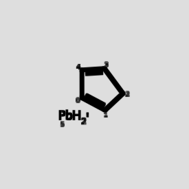 C1=CCC=C1.[PbH2]